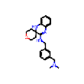 CN(C)Cc1cccc(CNC2=Nc3ccccc3NC23CCOCC3)c1